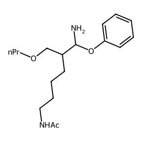 CCCOCC(CCCCNC(C)=O)C(N)Oc1ccccc1